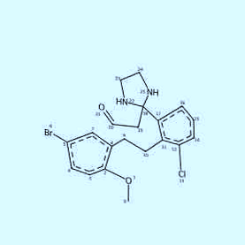 COc1ccc(Br)cc1CCc1c(Cl)cccc1C1(CC=O)NCCN1